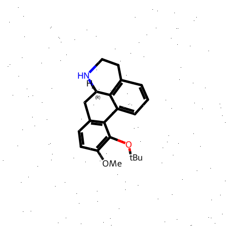 COc1ccc2c(c1OC(C)(C)C)-c1cccc3c1[C@@H](C2)NCC3